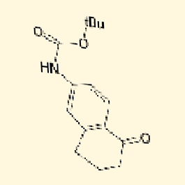 CC(C)(C)OC(=O)Nc1ccc2c(c1)CCCC2=O